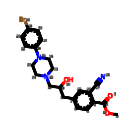 COC(=O)c1ccc(CC(O)CN2CCN(c3ccc(Br)cc3)CC2)cc1C#N